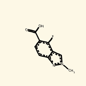 Cn1cc2c(F)c(C(=O)O)ccc2n1